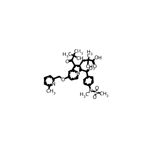 Cc1cccc(COc2ccn3c(C(=O)c4ccc(N(C)S(C)(=O)=O)cc4)c(CC(C)(C)C(=O)O)c(C(=O)C(C)(C)C)c3c2)n1